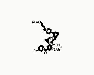 CC[C@@H]1CCCN(C(=O)c2cc(OC)c3c(c2)nc(-c2cc4cccc(C5CCN(C(=O)CCCOC)CC5)c4n2CC2CC2)n3C)C1